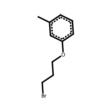 Cc1[c]ccc(OCCCBr)c1